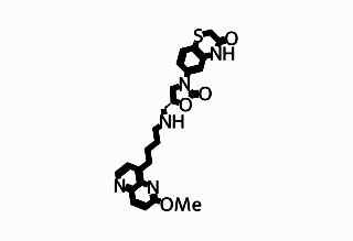 COc1ccc2nccc(CCCCNC[C@@H]3CN(c4ccc5c(c4)NC(=O)CS5)C(=O)O3)c2n1